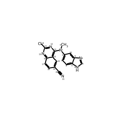 CN(c1ccc2[nH]cnc2c1)c1nc(Cl)nc2ccc(C#N)cc12